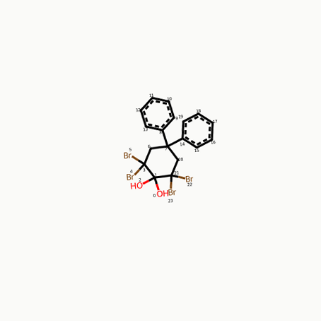 OC1(O)C(Br)(Br)CC(c2ccccc2)(c2ccccc2)CC1(Br)Br